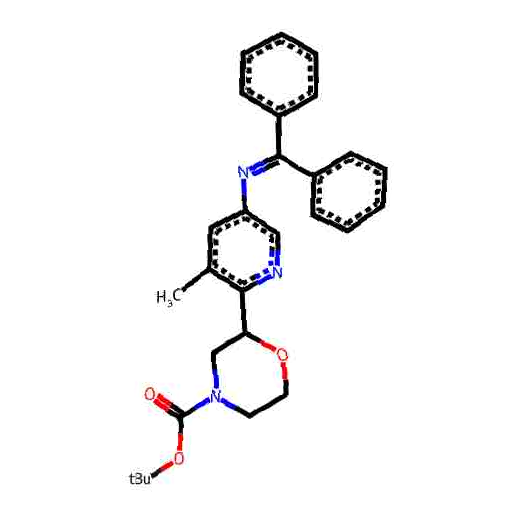 Cc1cc(N=C(c2ccccc2)c2ccccc2)cnc1C1CN(C(=O)OC(C)(C)C)CCO1